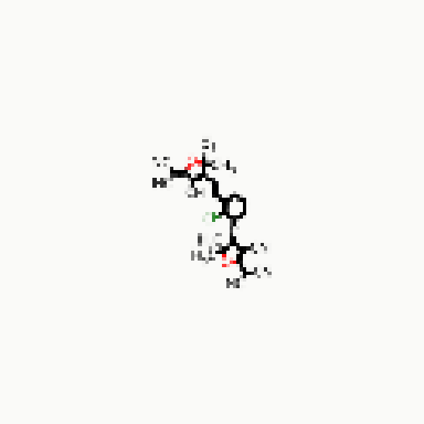 CC1(C)OC(C(C#N)C#N)=C(C#N)C1=C=C1CCCC(C=CC2=C(C#N)C(=C(C#N)C#N)OC2(C)C)=C1Cl